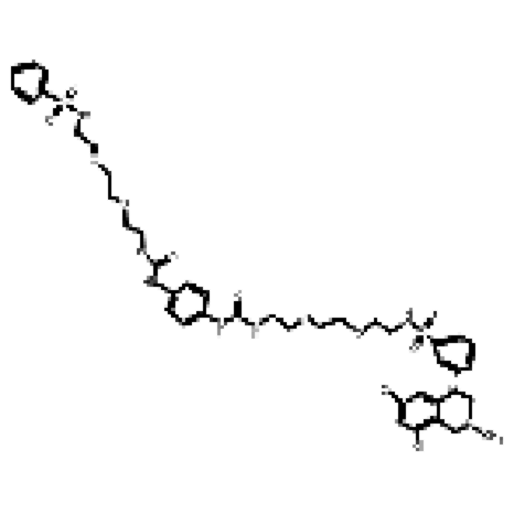 CN1Cc2c(Cl)cc(Cl)cc2[C@H](c2cccc(S(=O)(=O)NCCOCCOCCNC(=O)Nc3ccc(NC(=O)NCCOCCOCCNS(=O)(=O)c4ccccc4)cc3)c2)C1